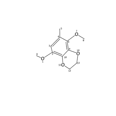 COc1cc(C)c(OC)c2c1OCCO2